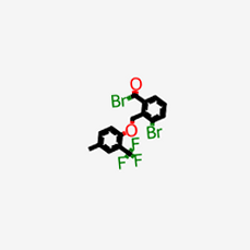 Cc1ccc(OCc2c(Br)cccc2C(=O)Br)c(C(F)(F)F)c1